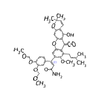 COCOc1ccc(/C(=C\C(N)=O)c2cc3c(c(CC=C(C)C)c2OC)C(=C=O)c2c(cc4c(c2O)C=CC(C)(C)O4)O3)cc1OCOC